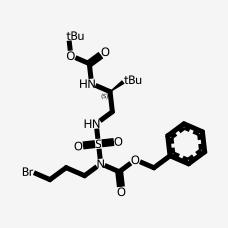 CC(C)(C)OC(=O)N[C@H](CNS(=O)(=O)N(CCCBr)C(=O)OCc1ccccc1)C(C)(C)C